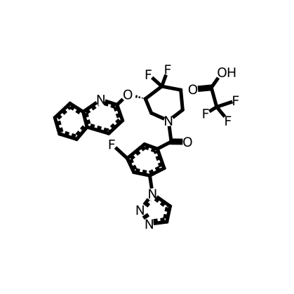 O=C(O)C(F)(F)F.O=C(c1cc(F)cc(-n2ccnn2)c1)N1CCC(F)(F)[C@@H](Oc2ccc3ccccc3n2)C1